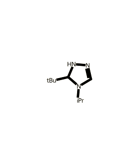 CC(C)N1C=NNC1C(C)(C)C